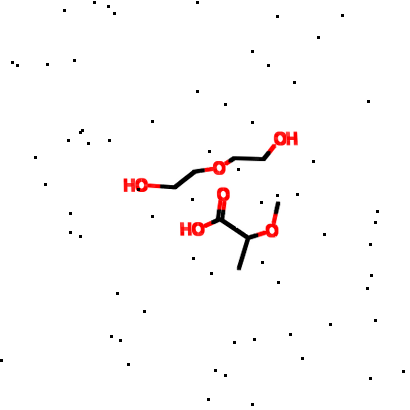 COC(C)C(=O)O.OCCOCCO